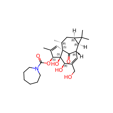 CC1=C[C@]23C(=O)[C@@H](C=C(CO)[C@@H](O)[C@]2(O)[C@H]1OC(=O)N1CCCCCC1)[C@H]1[C@@H](C[C@H]3C)C1(C)C